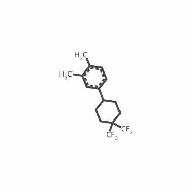 Cc1ccc(C2CCC(C(F)(F)F)(C(F)(F)F)CC2)cc1C